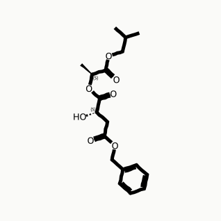 CC(C)COC(=O)[C@H](C)OC(=O)[C@@H](O)CC(=O)OCc1ccccc1